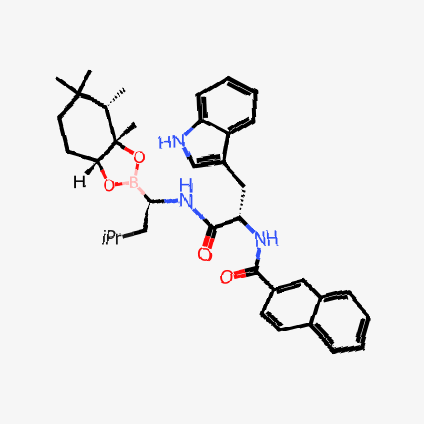 CC(C)C[C@H](NC(=O)[C@H](Cc1c[nH]c2ccccc12)NC(=O)c1ccc2ccccc2c1)B1O[C@@H]2CCC(C)(C)[C@H](C)[C@]2(C)O1